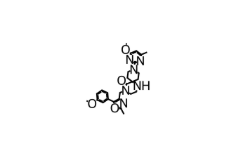 COc1cccc(-c2oc(C)nc2CN2CCNC3(CCN(c4nc(C)cc(OC)n4)CC3)C2=O)c1